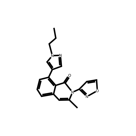 CCCn1cc(-c2cccc3cc(C)n(-c4ccon4)c(=O)c23)cn1